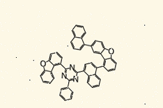 c1ccc(-c2nc(-c3ccc(-c4cccc5oc6ccc(-c7cccc8ccccc78)cc6c45)c4ccccc34)nc(-c3cccc4oc5ccccc5c34)n2)cc1